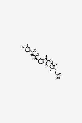 Cc1cc(C(=O)NC(=O)Nc2ccc3c(c2)NC(=O)/C3=C\c2[nH]c(C)c(CCC(=O)O)c2C)ccc1Cl